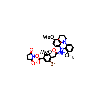 COc1ccc(N(NC(=O)Cc2cc(OC)c(C(=O)ON3C(=O)CCC3=O)cc2Br)c2c(C)cccc2N2CCCCC2)cc1